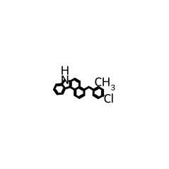 Cc1cc(Cl)ccc1Cc1cccc2c1ccc1[nH]c3ccccc3c12